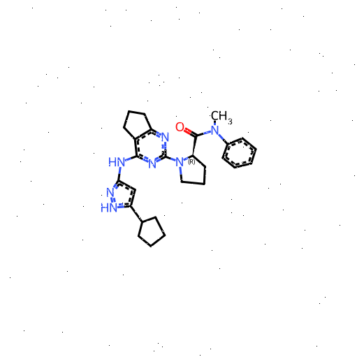 CN(C(=O)[C@H]1CCCN1c1nc2c(c(Nc3cc(C4CCCC4)[nH]n3)n1)CCC2)c1ccccc1